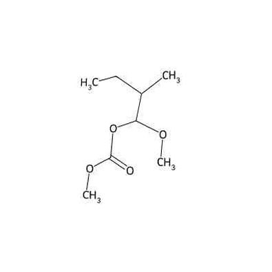 CCC(C)C(OC)OC(=O)OC